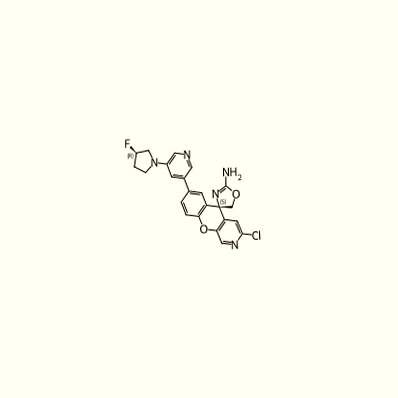 NC1=N[C@@]2(CO1)c1cc(-c3cncc(N4CC[C@@H](F)C4)c3)ccc1Oc1cnc(Cl)cc12